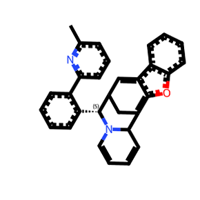 Cc1cccc(-c2ccccc2[C@@H]2C3C=c4c(oc5ccccc45)=C(C3)C3C=CC=CN32)n1